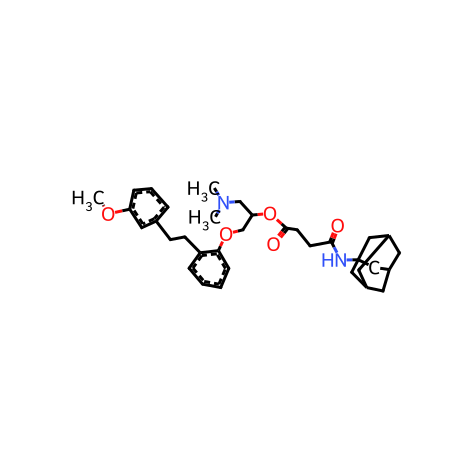 COc1cccc(CCc2ccccc2OCC(CN(C)C)OC(=O)CCC(=O)NC23CC4CC(CC(C4)C2)C3)c1